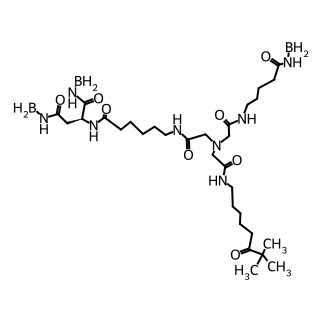 BNC(=O)CCCCNC(=O)CN(CC(=O)NCCCCCC(=O)N[C@@H](CC(=O)NB)C(=O)NB)CC(=O)NCCCCCC(=O)C(C)(C)C